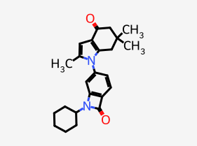 Cc1cc2c(n1-c1ccc3c(c1)N(C1CCCCC1)C3=O)CC(C)(C)CC2=O